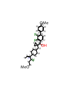 C/C=C(\C(F)CCOC)C1CCC(CC2(C(O)c3ccc(-c4ccc(OC)cc4)c(F)c3F)CC2)CC1